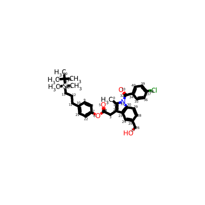 Cc1c(CC(=O)Oc2ccc(CCC[Si](C)(C)C(C)(C)C)cc2)c2cc(CO)ccc2n1C(=O)c1ccc(Cl)cc1